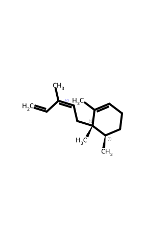 C=C/C(C)=C\C[C@]1(C)C(C)=CCC[C@H]1C